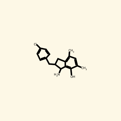 Cc1cc(C)c2c(c1O)C(N)C(Cc1ccc(Cl)cc1)C2